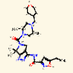 CCc1cc(C(=O)Nc2n[nH]c3c2CN(C(=O)N2C[C@@H](C)N(CC4CCOCC4)C[C@@H]2C)C3(C)C)no1